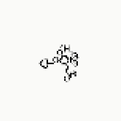 COc1cc([N+](=O)[O-])c(/C=C/[N+](=O)[O-])cc1OCc1ccccc1